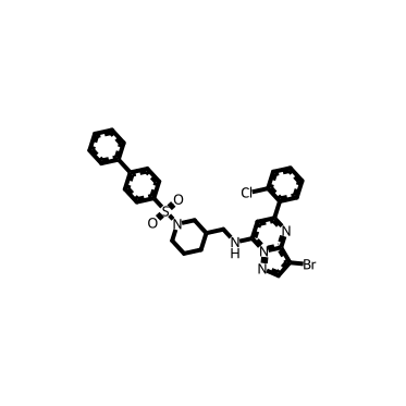 O=S(=O)(c1ccc(-c2ccccc2)cc1)N1CCCC(CNc2cc(-c3ccccc3Cl)nc3c(Br)cnn23)C1